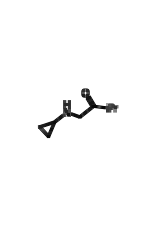 CC(C)C(=O)CNC1CC1